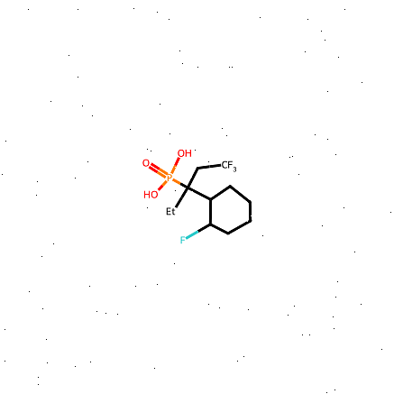 CCC(CC(F)(F)F)(C1CCCCC1F)P(=O)(O)O